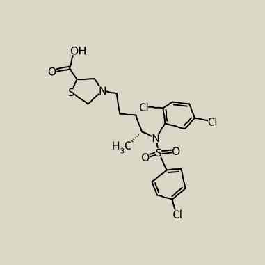 C[C@H](CCCN1CSC(C(=O)O)C1)N(c1cc(Cl)ccc1Cl)S(=O)(=O)c1ccc(Cl)cc1